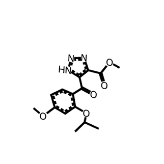 COC(=O)c1nn[nH]c1C(=O)c1ccc(OC)cc1OC(C)C